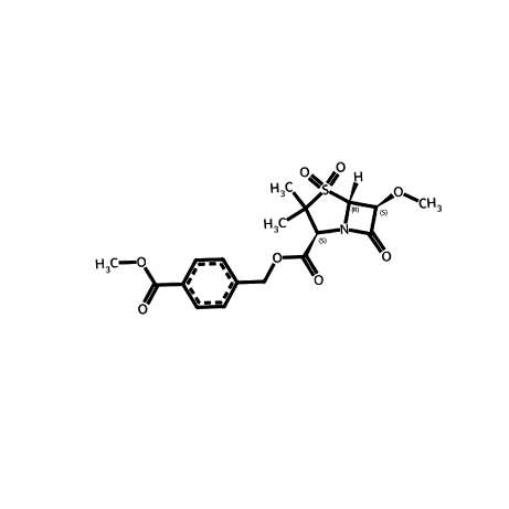 COC(=O)c1ccc(COC(=O)[C@@H]2N3C(=O)[C@H](OC)[C@H]3S(=O)(=O)C2(C)C)cc1